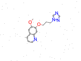 COc1cc2[c]ccnc2cc1OCCCn1cncn1